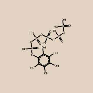 O=P(O)(O)OP(=O)(O)OP(=O)(O)OP(=O)(O)OP(=O)(O)Oc1c(O)c(O)c(O)c(O)c1O